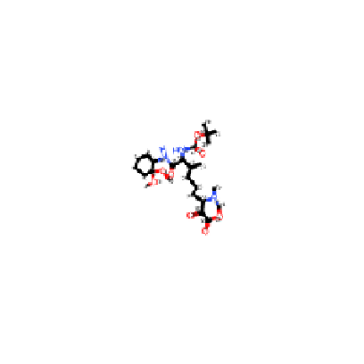 COC1(OC)CCCCC1NC(=O)C(NC(=O)OC(C)(C)C)C(C)CCCC1C(=O)C(=O)OCN1C